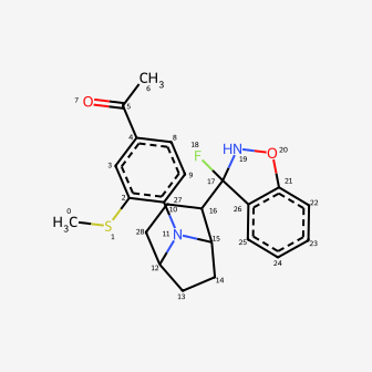 CSc1cc(C(C)=O)ccc1N1C2CCC1C(C1(F)NOc3ccccc31)CC2